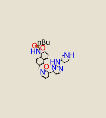 CCCCS(=O)(=O)Nc1cccc2c(Oc3ncccc3-c3ccnc(NC4CCCNC4)n3)c(C)ccc12